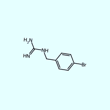 N=C(N)NCc1ccc(Br)cc1